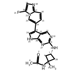 CC(=O)N[C@]1(C)C[C@H](Nc2ncc3c(-c4ccc5ncc(F)n5c4)c[nH]c3n2)C1